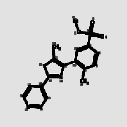 CCOS(=O)(=O)c1ccc(C)c(-c2nc(-c3ccncc3)sc2C)c1